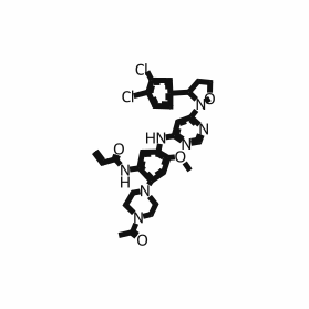 C=CC(=O)Nc1cc(Nc2cc(N3OCCC3c3ccc(Cl)c(Cl)c3)ncn2)c(OC)cc1N1CCN(C(C)=O)CC1